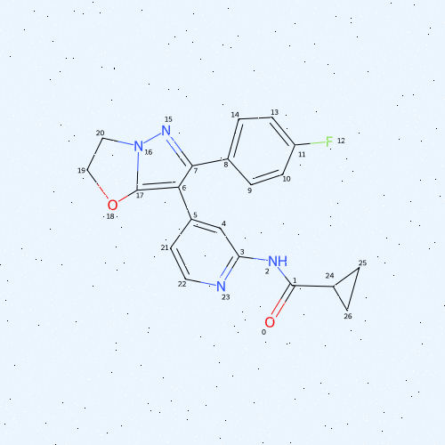 O=C(Nc1cc(-c2c(-c3ccc(F)cc3)nn3c2OCC3)ccn1)C1CC1